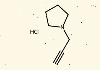 C#CCN1CCCC1.Cl